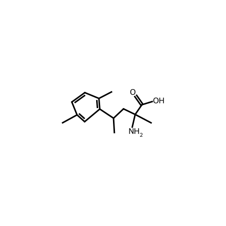 Cc1ccc(C)c(C(C)CC(C)(N)C(=O)O)c1